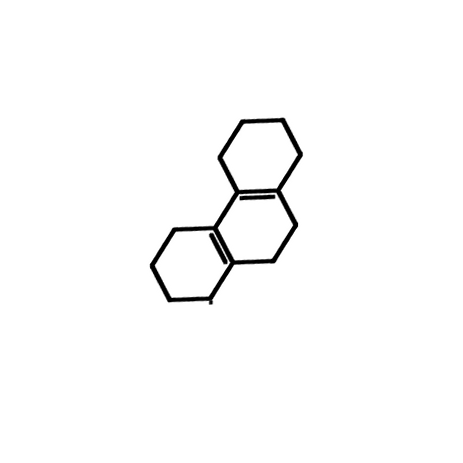 [CH]1CCCC2=C1CCC1=C2CCCC1